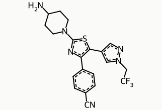 N#Cc1ccc(-c2nc(N3CCC(N)CC3)sc2-c2cnn(CC(F)(F)F)c2)cc1